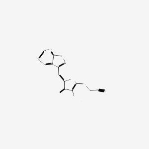 C#CCNC1=C(C(=O)O)C(=O)/C(=C/c2c[nH]c3ncccc23)O1